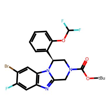 CC(C)(C)OC(=O)N1Cc2nc3cc(F)c(Br)cc3n2[C@@H](c2ccccc2OC(F)F)C1